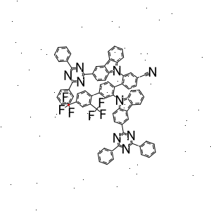 N#Cc1ccc(-c2ccc(-c3ccc(C(F)(F)F)cc3C(F)(F)F)cc2-n2c3ccccc3c3cc(-c4nc(-c5ccccc5)nc(-c5ccccc5)n4)ccc32)c(-n2c3ccccc3c3cc(-c4nc(-c5ccccc5)nc(-c5ccccc5)n4)ccc32)c1